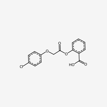 O=C(COc1ccc(Cl)cc1)Oc1ccccc1C(=O)O